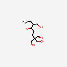 CCC(CO)C(=O)CCC(C=O)(CO)CO